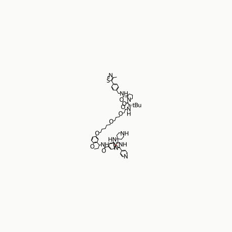 Cc1ncsc1-c1ccc(CNC(=O)[C@@H]2CCCN2C(=O)[C@@H](NC(=O)COCCCOCCCCCOc2ccc3c(c2)C(NC(=O)c2cccc(NC4(c5nnc(-c6ccncc6)[nH]5)CCNCC4)c2)CCO3)C(C)(C)C)cc1